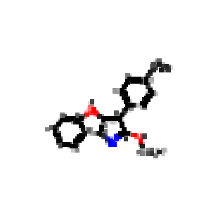 CCOC(=O)OC1=NC2C(=C1c1ccc(OC)cc1)Oc1ccccc12